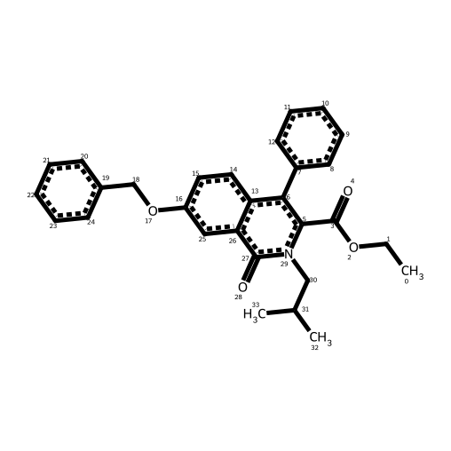 CCOC(=O)c1c(-c2ccccc2)c2ccc(OCc3ccccc3)cc2c(=O)n1CC(C)C